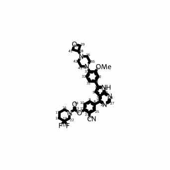 COc1cc(-c2cc3c(-c4ccc(OC(=O)N5CCCC(F)(F)C5)c(C#N)c4)ncnc3[nH]2)ccc1N1CCN(C2COC2)CC1